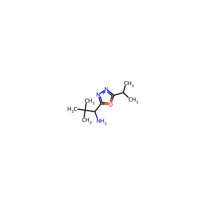 CC(C)c1nnc(C(N)C(C)(C)C)o1